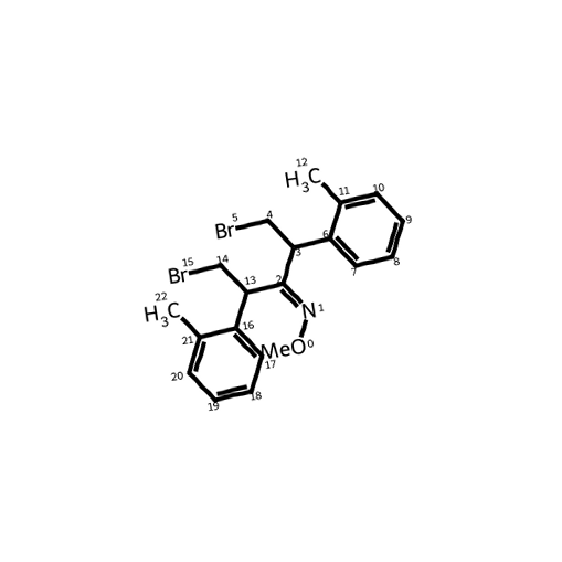 CON=C(C(CBr)c1ccccc1C)C(CBr)c1ccccc1C